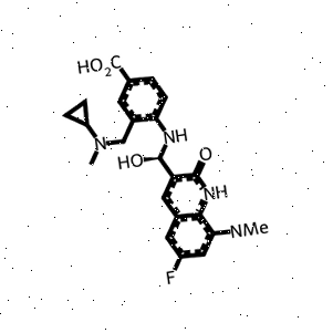 CNc1cc(F)cc2cc([C@@H](O)Nc3ccc(C(=O)O)cc3CN(C)C3CC3)c(=O)[nH]c12